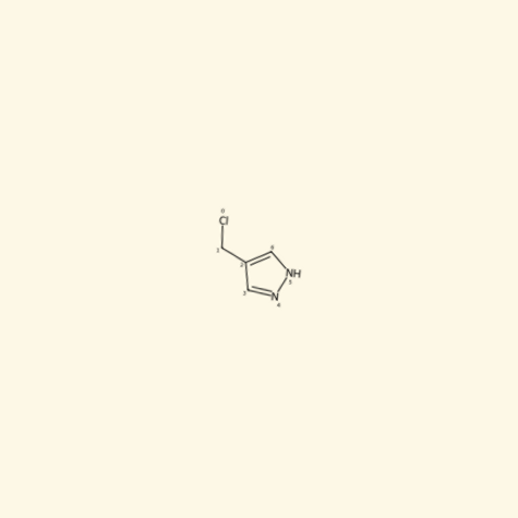 ClCc1cn[nH]c1